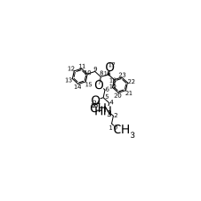 CCCNCC(COC(Cc1ccccc1)C(=O)c1ccccc1)OC